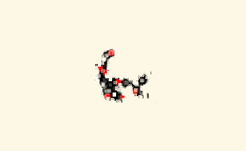 CC1(C)CCC(CN2CCN(c3ccc(C(=O)NP(C)(=O)c4ccc(NC[C@H]5COCCO5)c([N+](=O)[O-])c4)c(N4CCCOc5nc6[nH]ccc6cc54)c3)CC2)=C(c2ccc(Cl)cc2)C1